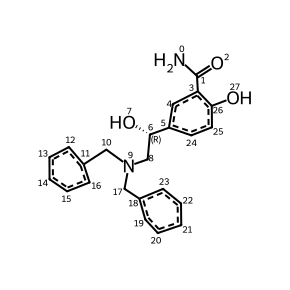 NC(=O)c1cc([C@@H](O)CN(Cc2ccccc2)Cc2ccccc2)ccc1O